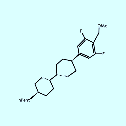 CCCCC[C@H]1CC[C@H]([C@H]2CC[C@H](c3cc(F)c(COC)c(F)c3)CC2)CC1